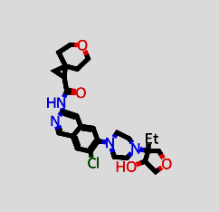 CCC1(N2CCN(c3cc4cc(NC(=O)C5CC56CCOCC6)ncc4cc3Cl)CC2)COCC1O